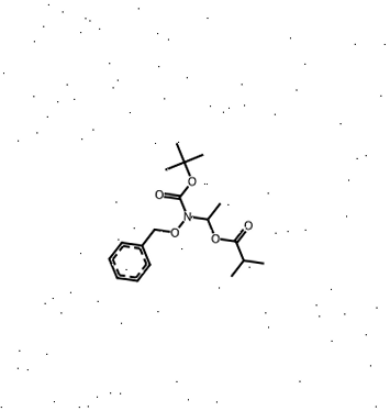 CC(C)C(=O)OC(C)N(OCc1ccccc1)C(=O)OC(C)(C)C